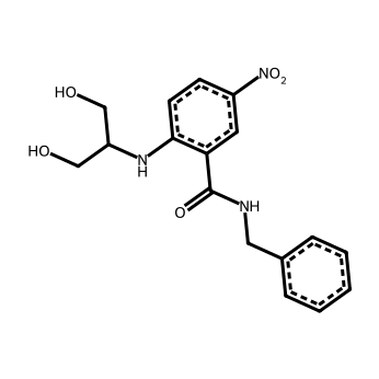 O=C(NCc1ccccc1)c1cc([N+](=O)[O-])ccc1NC(CO)CO